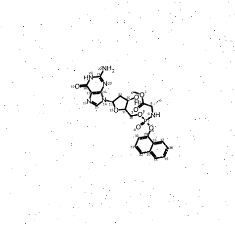 COC(=O)[C@H](C)NP(=O)(OCC1O[C@@H](n2cnc3c(=O)[nH]c(N)nc32)C[C@H]1O)Oc1cccc2ccccc12